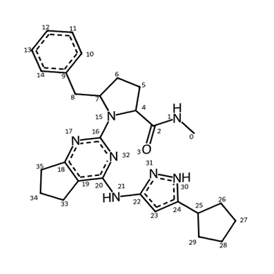 CNC(=O)C1CCC(Cc2ccccc2)N1c1nc2c(c(Nc3cc(C4CCCC4)[nH]n3)n1)CCC2